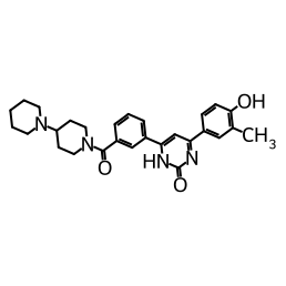 Cc1cc(-c2cc(-c3cccc(C(=O)N4CCC(N5CCCCC5)CC4)c3)[nH]c(=O)n2)ccc1O